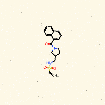 C=CS(=O)(=O)NCC1CCN(C(=O)c2cccc3ccccc23)C1